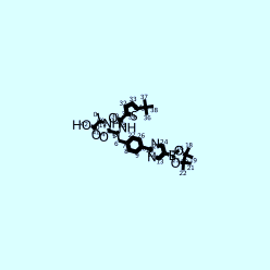 C[C@@H](NC(=O)[C@H](Cc1ccc(-c2ncc(B3OC(C)(C)C(C)(C)O3)cn2)cc1)NC(=O)c1ccc(C(C)(C)C)s1)C(=O)O